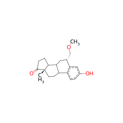 COC[C@H]1CC2C(CC[C@]3(C)C(=O)CCC23)c2ccc(O)cc21